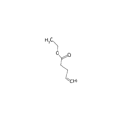 [CH]=CCCC(=O)OCC